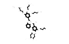 CCCCOc1cc(C(=O)Oc2ccccc2OC(=O)c2cc(OCCCC)c(OCCCC)c(OCCCC)c2)cc(OCCCC)c1OCCCC